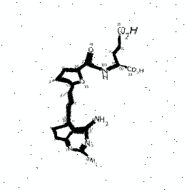 Nc1nc(N)c2c(n1)CCC2CCc1ccc(C(=O)N[C@@H](CCC(=O)O)C(=O)O)o1